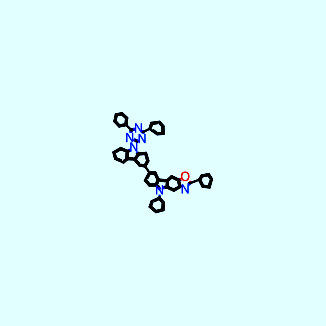 c1ccc(-c2nc(-c3ccccc3)nc(-n3c4ccccc4c4cc(-c5ccc6c(c5)c5cc7oc(-c8ccccc8)nc7cc5n6-c5ccccc5)ccc43)n2)cc1